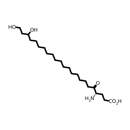 N[C@@H](CCC(=O)O)C(=O)CCCCCCCCCCCCCCCC(O)CCO